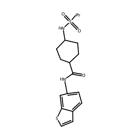 CC(C)S(=O)(=O)NC1CCC(C(=O)Nc2ccc3ccsc3c2)CC1